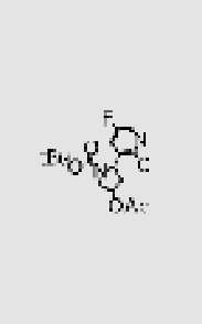 CC(=O)O[C@@H]1C[C@H](c2cc(F)cnc2Cl)N(C(=O)OC(C)(C)C)C1